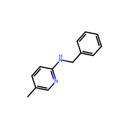 Cc1ccc(NCc2ccccc2)nc1